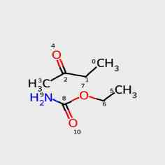 CCC(C)=O.CCOC(N)=O